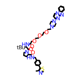 Cc1ncsc1-c1ccc(CNC(=O)C2CCCN2C(=O)C(NC(=O)COCCOCCOCCN2CCN(c3ccn4c(n3)nc3ccccc34)CC2)C(C)(C)C)cc1